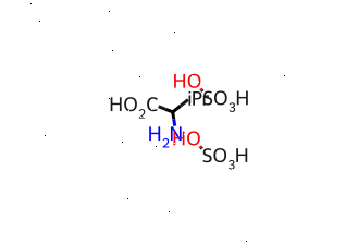 CC(C)C(N)C(=O)O.O=S(=O)(O)O.O=S(=O)(O)O